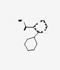 C=NC(=O)c1nccnc1C1CCCCC1